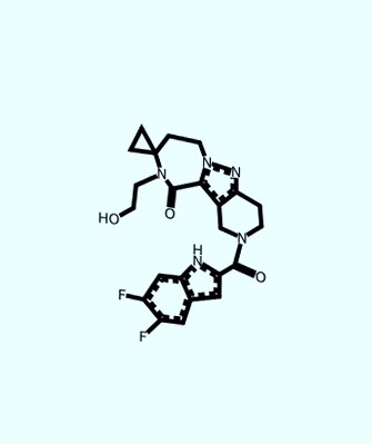 O=C(c1cc2cc(F)c(F)cc2[nH]1)N1CCc2nn3c(c2C1)C(=O)N(CCO)C1(CC3)CC1